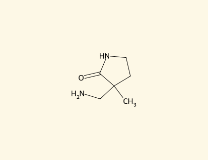 CC1(CN)CCNC1=O